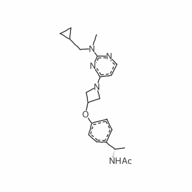 CC(=O)N[C@@H](C)c1ccc(OC2CN(c3ccnc(N(C)CC4CC4)n3)C2)cc1